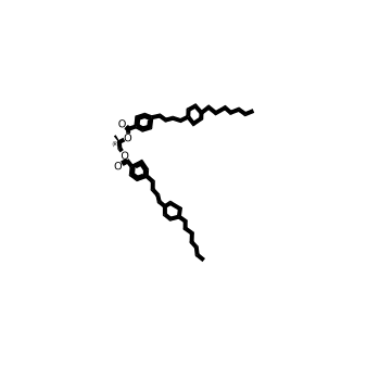 CCCCCCCC1CCC(CCCCc2ccc(C(=O)OC[C@@H](C)OC(=O)c3ccc(CCCCC4CCC(CCCCCCC)CC4)cc3)cc2)CC1